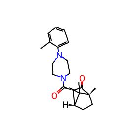 Cc1ccccc1N1CCN(C(=O)[C@H]2C(=O)[C@]3(C)CC[C@H]2C3(C)C)CC1